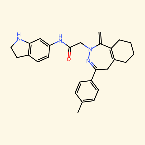 C=C1C2=C(CCCC2)CC(c2ccc(C)cc2)=NN1CC(=O)Nc1ccc2c(c1)NCC2